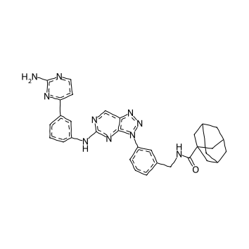 Nc1nccc(-c2cccc(Nc3ncc4nnn(-c5cccc(CNC(=O)C67CC8CC(CC(C8)C6)C7)c5)c4n3)c2)n1